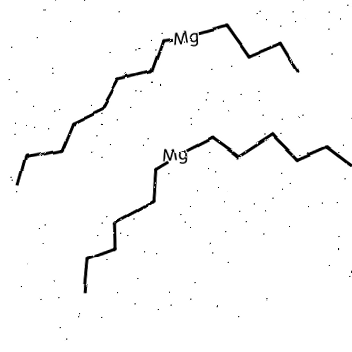 CCCCCCC[CH2][Mg][CH2]CCC.CCCCC[CH2][Mg][CH2]CCCCC